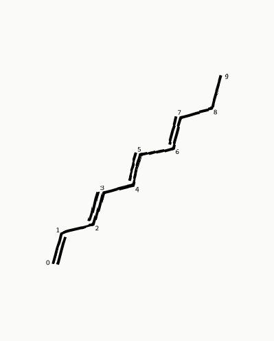 [CH]=CC=CC=CC=CCC